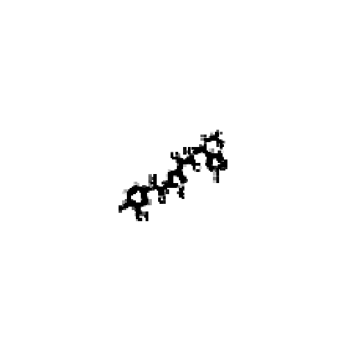 Cn1cc(C(=O)C(=O)N[C@H](CC(F)F)c2cn[nH]n2)cc1C(=O)Nc1ccc(F)c(C#N)c1